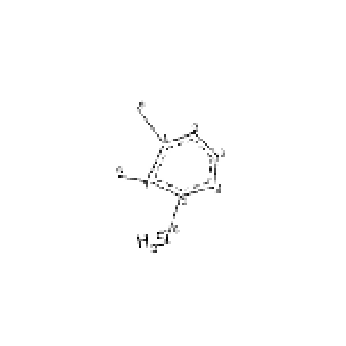 Cc1cc[c]c([SiH3])c1C